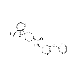 Cc1ccccc1C1(O)CCN(C(=O)Nc2cccc(Oc3ccccc3)c2)CC1